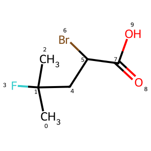 CC(C)(F)CC(Br)C(=O)O